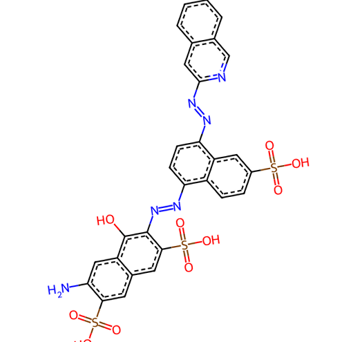 Nc1cc2c(O)c(N=Nc3ccc(N=Nc4cc5ccccc5cn4)c4cc(S(=O)(=O)O)ccc34)c(S(=O)(=O)O)cc2cc1S(=O)(=O)O